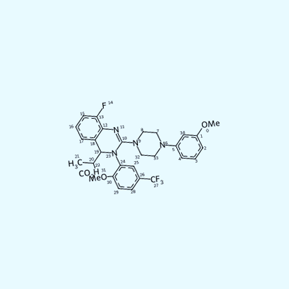 COc1cccc(N2CCN(C3=Nc4c(F)cccc4C(C(C)C(=O)O)N3c3cc(C(F)(F)F)ccc3OC)CC2)c1